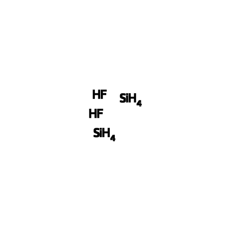 F.F.[SiH4].[SiH4]